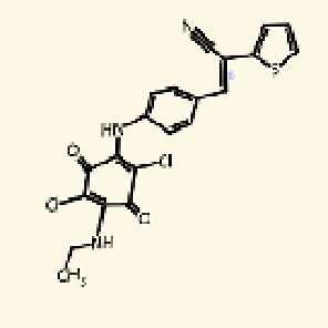 CCNC1=C(Cl)C(=O)C(Nc2ccc(/C=C(\C#N)c3cccs3)cc2)=C(Cl)C1=O